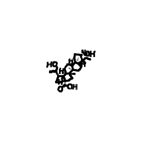 C=C(CO)[C@@H]1CC[C@]2(C(=O)O)CC[C@]3(C)[C@H](CC[C@@H]4[C@@]5(C)CC/C(=N/O)C(C)(CC)[C@@H]5CC[C@]43C)[C@@H]12